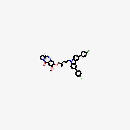 C=C(CCCn1c2ccc(-c3ccc(F)cc3)cc2c2cc(-c3ccc(F)cc3)ccc21)COc1cc2c(cc1OC)C(=O)N1CCC[C@H]1C=N2